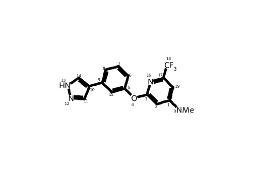 CNc1cc(Oc2cccc(-c3cn[nH]c3)c2)nc(C(F)(F)F)c1